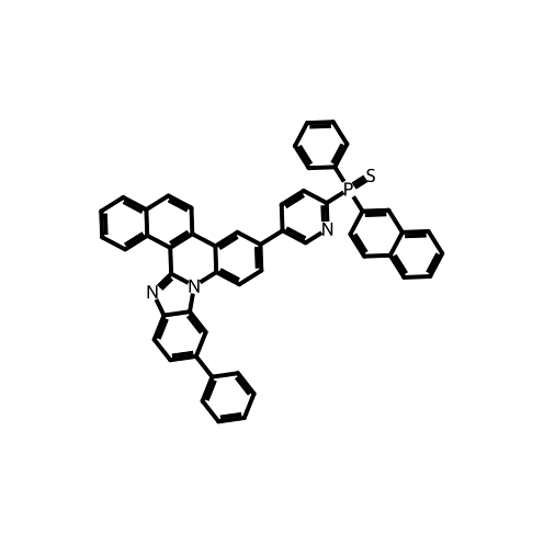 S=P(c1ccccc1)(c1ccc2ccccc2c1)c1ccc(-c2ccc3c(c2)c2ccc4ccccc4c2c2nc4ccc(-c5ccccc5)cc4n32)cn1